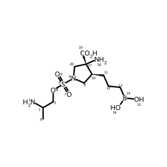 CC(N)COS(=O)(=O)N1C[C@H](CCCB(O)O)[C@](N)(C(=O)O)C1